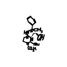 C[C@@H](N[C@@H]1CCN(C(=O)O)C(C(C)(C)C)[C@H]1CO)c1ccccc1